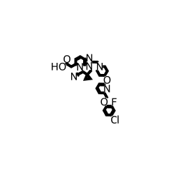 N#CCC1(Cn2c(CN3CCC(Oc4cccc(COc5ccc(Cl)cc5F)n4)CC3)nc3ccc(CC(=O)O)nc32)CC1